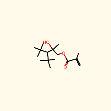 C=C(C)C(=O)OCC(C)(O)C(C(C)(C)C)C(C)(C)C